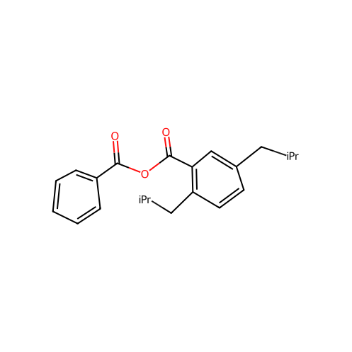 CC(C)Cc1ccc(CC(C)C)c(C(=O)OC(=O)c2ccccc2)c1